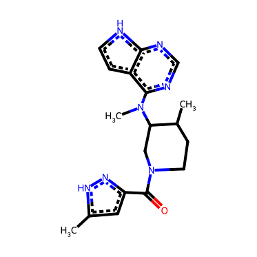 Cc1cc(C(=O)N2CCC(C)C(N(C)c3ncnc4[nH]ccc34)C2)n[nH]1